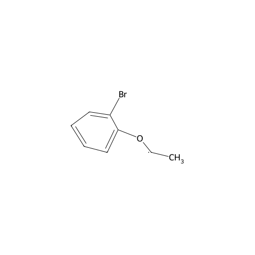 C[CH]Oc1ccccc1Br